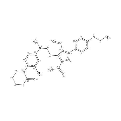 CCOc1ccc(-n2nc(C(N)=O)c(CCN(C)c3ccc(N4CCCCC4=O)c(C)c3)c2C=O)cc1